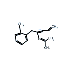 C=C/C=C(/Cc1ccccc1C)N=C(C)C